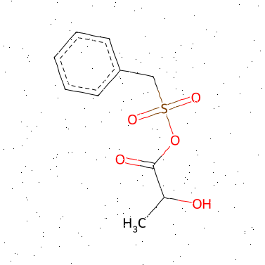 CC(O)C(=O)OS(=O)(=O)Cc1ccccc1